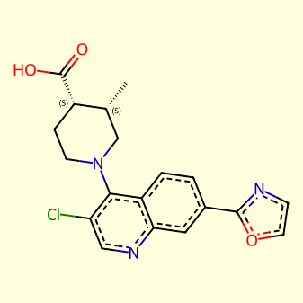 C[C@@H]1CN(c2c(Cl)cnc3cc(-c4ncco4)ccc23)CC[C@@H]1C(=O)O